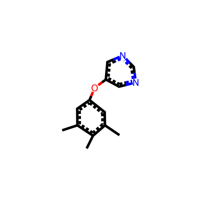 Cc1cc(Oc2cncnc2)cc(C)c1C